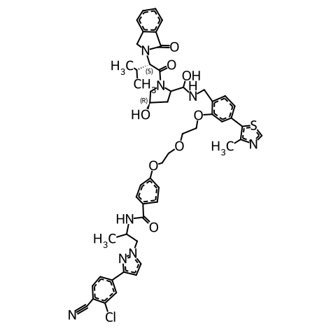 Cc1ncsc1-c1ccc(CNC(O)C2C[C@@H](O)CN2C(=O)[C@H](C(C)C)N2Cc3ccccc3C2=O)c(OCCOCCOc2ccc(C(=O)NC(C)Cn3ccc(-c4ccc(C#N)c(Cl)c4)n3)cc2)c1